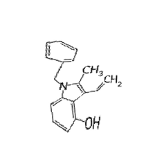 C=Cc1c(C)n(Cc2ccccc2)c2cccc(O)c12